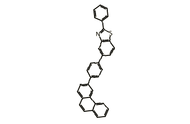 c1ccc(-c2nc3cc(-c4ccc(-c5ccc6ccc7ccccc7c6c5)cc4)ccc3s2)cc1